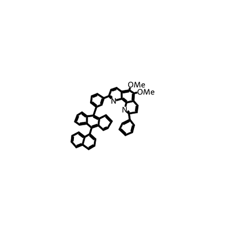 COc1c(OC)c2ccc(-c3cccc(-c4c5ccccc5c(-c5cccc6ccccc56)c5ccccc45)c3)nc2c2nc(-c3ccccc3)ccc12